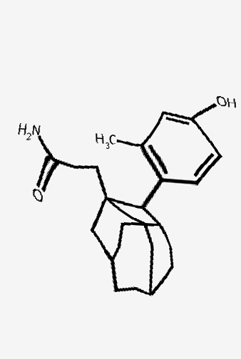 Cc1cc(O)ccc1C1C2CC3CC(C2)CC1(CC(N)=O)C3